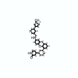 Cn1cc(-c2cncc(CNc3ccc4c(c3)Cc3cccc(C5CN(c6cc[nH]c(=O)c6)CCO5)c3O4)c2)cn1